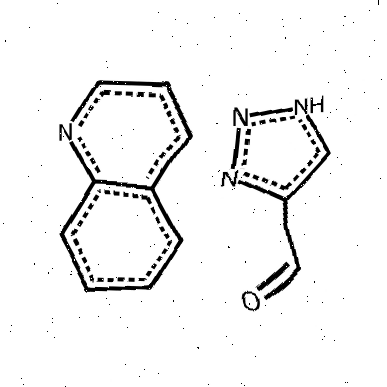 O=Cc1c[nH]nn1.c1ccc2ncccc2c1